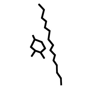 CC1CCC(C)C(C)C1.CCCCCCCCCCCCCCC